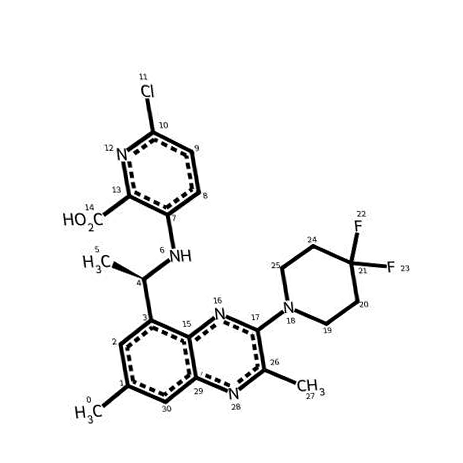 Cc1cc([C@@H](C)Nc2ccc(Cl)nc2C(=O)O)c2nc(N3CCC(F)(F)CC3)c(C)nc2c1